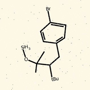 CC(C)(C)C(Cc1ccc(Br)cc1)C(C)(C)O[SiH3]